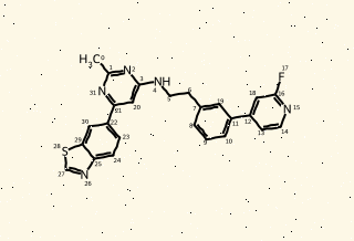 Cc1nc(NCCc2cccc(-c3ccnc(F)c3)c2)cc(-c2ccc3ncsc3c2)n1